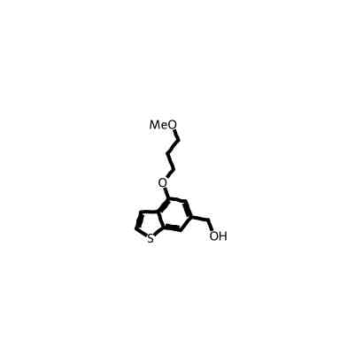 COCCCOc1cc(CO)cc2sccc12